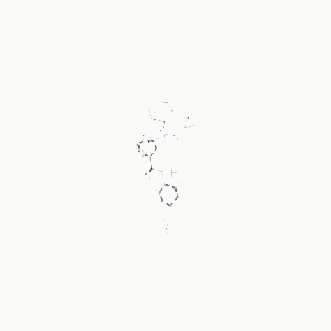 CNCc1ccc(NC(=O)c2cc(N(CC3CC3)C3CCCCC3)ncn2)c(C)c1